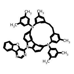 Cc1cc(C)cc(N2c3cc(C)cc(c3)CCc3cc(C)cc(c3)N(c3cc(C)cc(C)c3)c3ccc4c(c3)c3cc2ccc3n4-c2ncnc3c2oc2ccccc23)c1